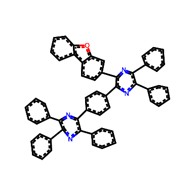 c1ccc(-c2nc(-c3ccccc3)c(-c3ccc(-c4nc(-c5ccccc5)c(-c5ccccc5)nc4-c4ccc5c(c4)oc4ccccc45)cc3)nc2-c2ccccc2)cc1